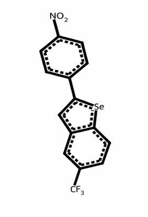 O=[N+]([O-])c1ccc(-c2cc3cc(C(F)(F)F)ccc3[se]2)cc1